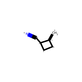 C=C1CCC1C#N